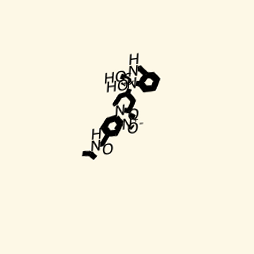 CC(C)NC(=O)c1ccc(N2CCC(N3c4ccccc4CNS3(O)O)CC2)c([N+](=O)[O-])c1